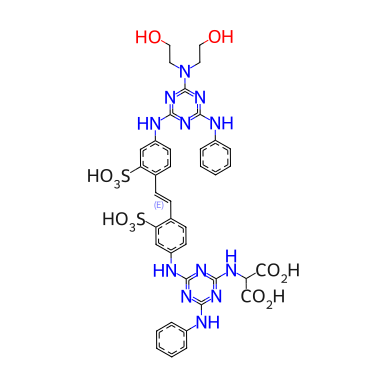 O=C(O)C(Nc1nc(Nc2ccccc2)nc(Nc2ccc(/C=C/c3ccc(Nc4nc(Nc5ccccc5)nc(N(CCO)CCO)n4)cc3S(=O)(=O)O)c(S(=O)(=O)O)c2)n1)C(=O)O